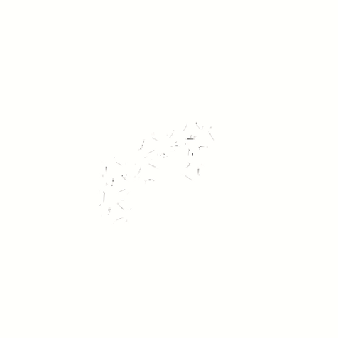 c1ccc(-n2c3cccc4ccc5cc6c7cccc(-c8cccc(-c9cc%10c%11ccccc%11ccc%10c%10ccccc9%10)c8)c7sc6c2c5c43)cc1